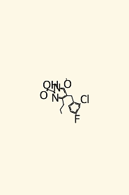 CCCc1nc(C(=O)O)nc(OC)c1Cc1ccc(F)cc1Cl